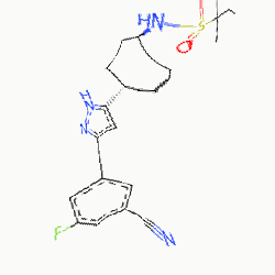 CC(C)(C)S(=O)(=O)N[C@H]1CC[C@H](c2cc(-c3cc(F)cc(C#N)c3)n[nH]2)CC1